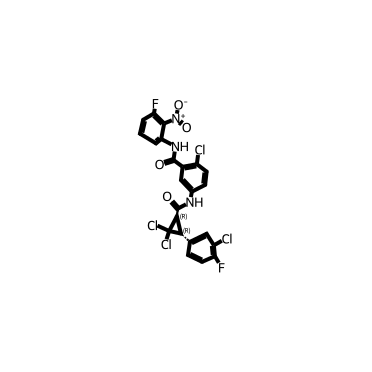 O=C(Nc1cccc(F)c1[N+](=O)[O-])c1cc(NC(=O)[C@H]2[C@H](c3ccc(F)c(Cl)c3)C2(Cl)Cl)ccc1Cl